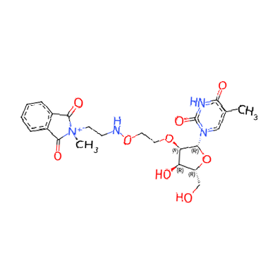 Cc1cn([C@@H]2O[C@H](CO)[C@@H](O)[C@H]2OCCONCC[N+]2(C)C(=O)c3ccccc3C2=O)c(=O)[nH]c1=O